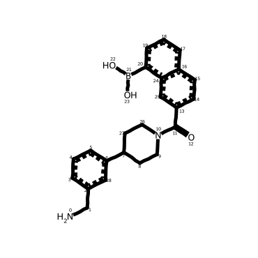 NCc1cccc(C2CCN(C(=O)c3ccc4cccc(B(O)O)c4c3)CC2)c1